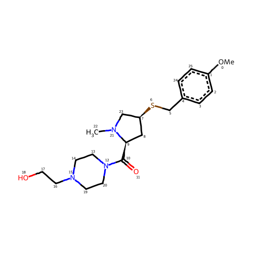 COc1ccc(CS[C@H]2C[C@@H](C(=O)N3CCN(CCO)CC3)N(C)C2)cc1